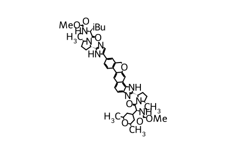 CC[C@H](C)[C@H](NC(=O)OC)C(=O)N1[C@@H](C)CC[C@H]1c1ncc(-c2ccc3c(c2)COc2cc4c(ccc5nc([C@@H]6CC[C@H](C)N6C(=O)[C@@H](NC(=O)OC)C6CC(C)O[C@H](C)C6)[nH]c54)cc2-3)[nH]1